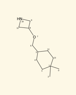 CC1(C)CCC(COC2CNC2)CC1